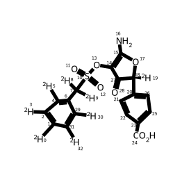 [2H]c1c([2H])c([2H])c(C([2H])([2H])S(=O)(=O)OC2=C(N)O[C@]([2H])(c3ccc(C(=O)O)cc3)C2=O)c([2H])c1[2H]